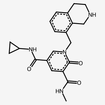 CNC(=O)c1cc(C(=O)NC2CC2)cn(Cc2cccc3c2CNCC3)c1=O